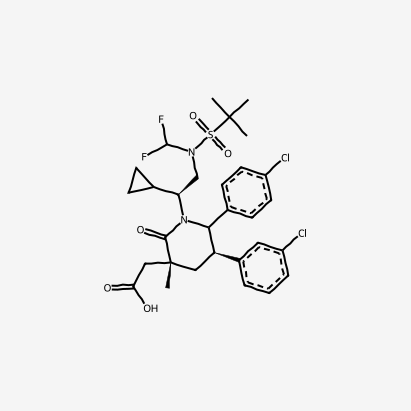 CC(C)(C)S(=O)(=O)N(C[C@H](C1CC1)N1C(=O)[C@@](C)(CC(=O)O)C[C@H](c2cccc(Cl)c2)C1c1ccc(Cl)cc1)C(F)F